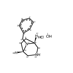 Cl.Cl.c1ccc(CN2[C@@H]3CC[C@H]2CNC3)cc1